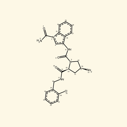 NC(=O)n1cc(NC(=O)N2C[C@@H](N)C[C@H]2C(=O)NCc2ccccc2Cl)c2ccccc21